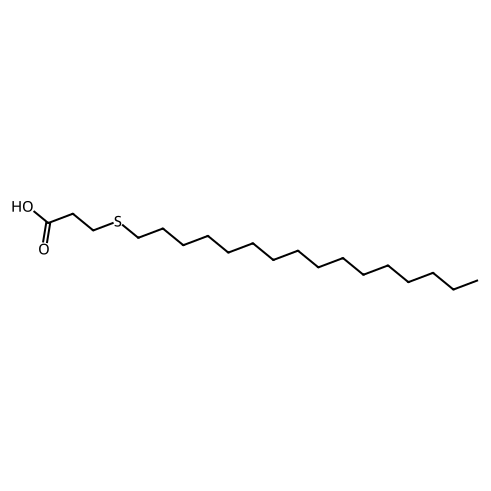 CCCCCCCCCCCCCCCCSCCC(=O)O